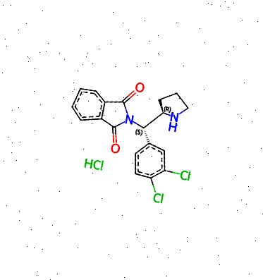 Cl.O=C1c2ccccc2C(=O)N1[C@@H](c1ccc(Cl)c(Cl)c1)[C@H]1CCCN1